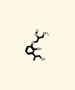 CC(CS)c1cccc(OCC(CN)N=O)c1S